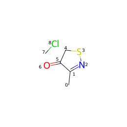 CC1=NSCC1=O.CCl